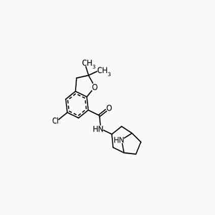 CC1(C)Cc2cc(Cl)cc(C(=O)NC3CC4CCC(C3)N4)c2O1